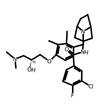 Cc1c(CN2C3CCC2CC(NC(=O)c2ccc(F)c(Cl)c2)C3)ccc(OC[C@H](O)CN(C)C)c1C